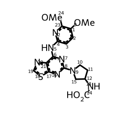 COc1ccc(Nc2nc(N3CCC(NC(=O)O)C3)nc3scnc23)nc1OC